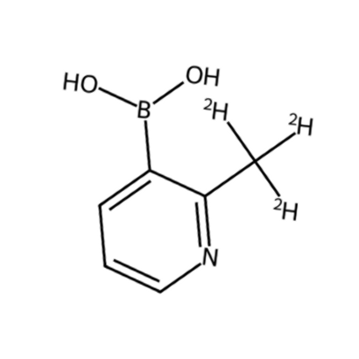 [2H]C([2H])([2H])c1ncccc1B(O)O